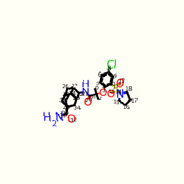 CC(C)(Oc1ccc(Cl)cc1S(=O)(=O)N1CCCC1)C(=O)NC1C2CC3CC1CC(C(N)=O)(C3)C2